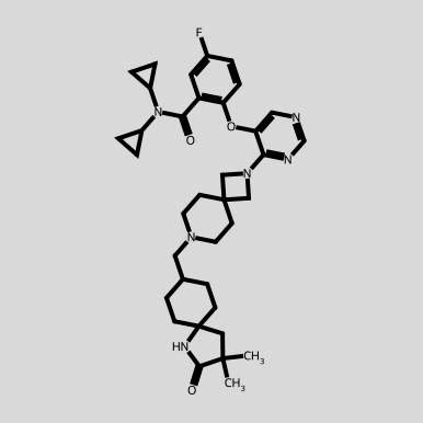 CC1(C)CC2(CCC(CN3CCC4(CC3)CN(c3ncncc3Oc3ccc(F)cc3C(=O)N(C3CC3)C3CC3)C4)CC2)NC1=O